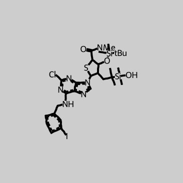 CNC(=O)C1SC(n2cnc3c(NCc4cccc(I)c4)nc(Cl)nc32)C(CC(C)(C)[Si](C)(C)O)C1O[Si](C)(C)C(C)(C)C